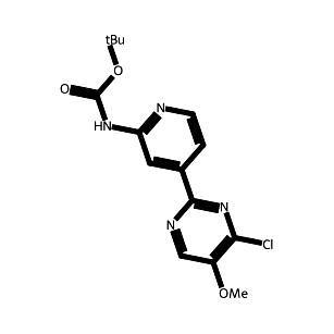 COc1cnc(-c2ccnc(NC(=O)OC(C)(C)C)c2)nc1Cl